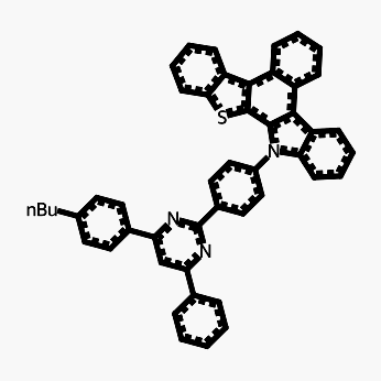 CCCCc1ccc(-c2cc(-c3ccccc3)nc(-c3ccc(-n4c5ccccc5c5c6ccccc6c6c7ccccc7sc6c54)cc3)n2)cc1